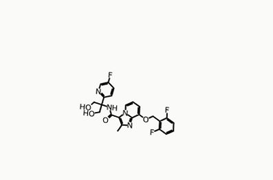 Cc1nc2c(OCc3c(F)cccc3F)cccn2c1C(=O)NC(CO)(CO)c1ccc(F)cn1